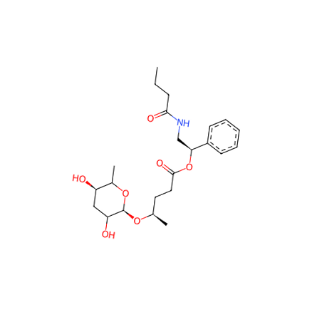 CCCC(=O)NC[C@H](OC(=O)CC[C@@H](C)O[C@@H]1OC(C)[C@H](O)CC1O)c1ccccc1